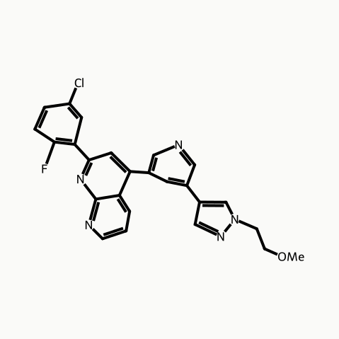 COCCn1cc(-c2cncc(-c3cc(-c4cc(Cl)ccc4F)nc4ncccc34)c2)cn1